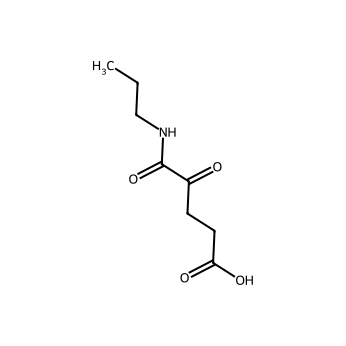 CCCNC(=O)C(=O)CCC(=O)O